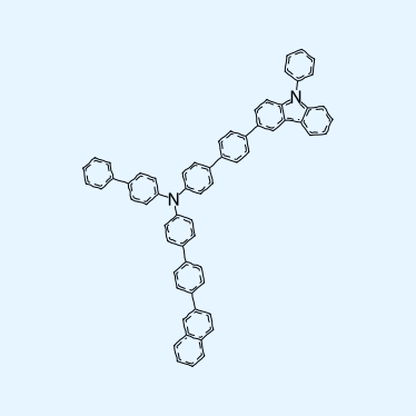 c1ccc(-c2ccc(N(c3ccc(-c4ccc(-c5ccc6ccccc6c5)cc4)cc3)c3ccc(-c4ccc(-c5ccc6c(c5)c5ccccc5n6-c5ccccc5)cc4)cc3)cc2)cc1